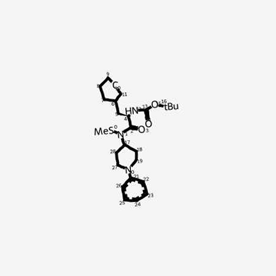 CSN(C(=O)[C@@H](CC1CCCCC1)NC(=O)OC(C)(C)C)C1CCN(c2ccccc2)CC1